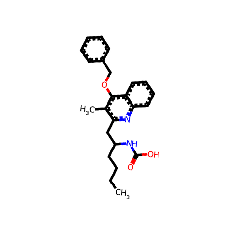 CCCCC(Cc1nc2ccccc2c(OCc2ccccc2)c1C)NC(=O)O